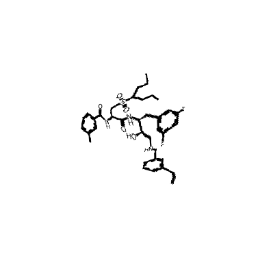 CCCC(CCC)S(=O)(=O)CC(NC(=O)c1cccc(C)c1)C(=O)N[C@@H](Cc1cc(F)cc(F)c1)[C@H](O)CNCc1cccc(CC)c1